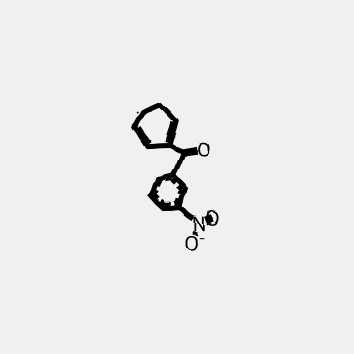 O=C(C1=CC[CH]C=C1)c1cccc([N+](=O)[O-])c1